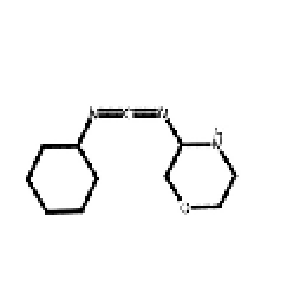 C(=NC1CCCCC1)=NC1COCCN1